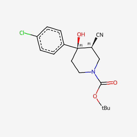 CC(C)(C)OC(=O)N1CC[C@](O)(c2ccc(Cl)cc2)[C@@H](C#N)C1